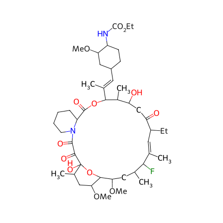 CCOC(=O)NC1CCC(C=C(C)C2OC(=O)C3CCCCN3C(=O)C(=O)C3(O)OC(C(OC)CC(C)C(F)/C(C)=C/C(CC)C(=O)CC(O)C2C)C(OC)CC3C)CC1OC